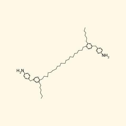 CCCCCCc1cc(Cc2ccc(N)cc2)ccc1CCCCCCCCCCCCCCCCCCCCc1ccc(Cc2ccc(N)cc2)cc1CCCCCC